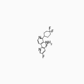 Nc1c(-c2ncc(F)cc2F)ccnc1C1CCC(F)(F)CC1